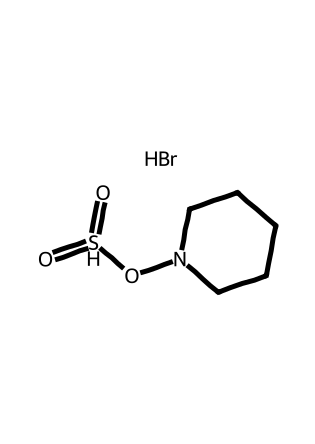 Br.O=[SH](=O)ON1CCCCC1